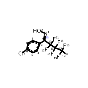 O/N=C(\c1ccc(Cl)cc1)C(F)(F)C(F)(F)C(F)(F)F